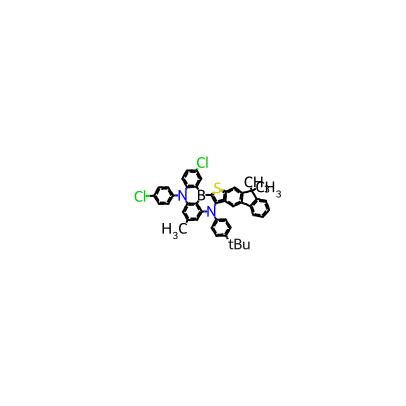 Cc1cc2c3c(c1)N(c1ccc(C(C)(C)C)cc1)c1c(sc4cc5c(cc14)-c1ccccc1C5(C)C)B3c1cc(Cl)ccc1N2c1ccc(Cl)cc1